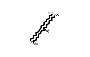 CCCCCCCCCCCCCCCCCCCCCCCCCCC(=O)[O-].CCCCCCCCCCCCCCCCCCCCCCCCCCC(=O)[O-].[Ag+].[Ag+]